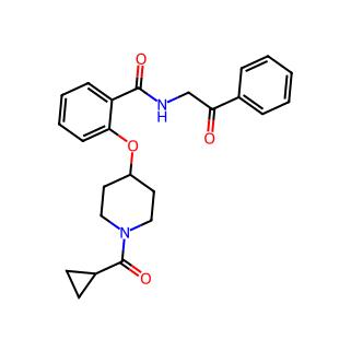 O=C(CNC(=O)c1ccccc1OC1CCN(C(=O)C2CC2)CC1)c1ccccc1